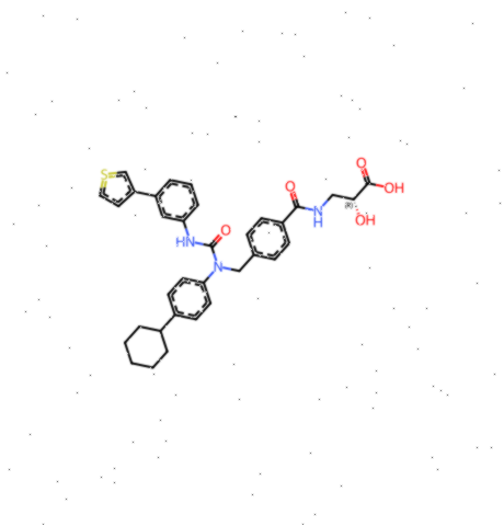 O=C(NC[C@@H](O)C(=O)O)c1ccc(CN(C(=O)Nc2cccc(-c3ccsc3)c2)c2ccc(C3CCCCC3)cc2)cc1